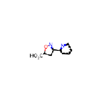 O=C(O)C1CC(c2ccccn2)=NO1